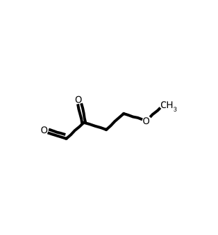 COCCC(=O)C=O